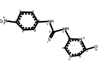 O=[N+]([O-])c1ccc(NC(=S)Nc2cncc(Cl)n2)cc1